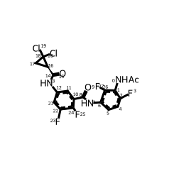 CC(=O)Nc1c(F)ccc(NC(=O)c2cc(NC(=O)[C@H]3CC3(Cl)Cl)cc(F)c2F)c1F